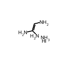 I.N.NC=C(N)N